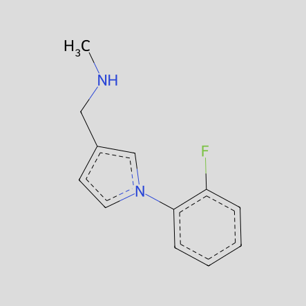 CNCc1ccn(-c2ccccc2F)c1